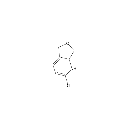 ClC1=CC=C2COCC2N1